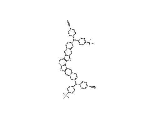 CC(C)(C)c1ccc(N(c2ccc(C#N)cc2)c2ccc3cc4c(cc3c2)oc2c4ccc3oc4cc5cc(N(c6ccc(C#N)cc6)c6ccc(C(C)(C)C)cc6)ccc5cc4c32)cc1